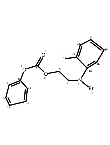 CCN(CCOC(=O)Oc1ccccc1)c1ccccc1C